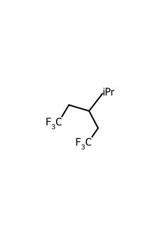 CC(C)C(CC(F)(F)F)CC(F)(F)F